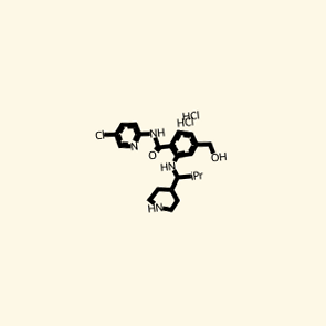 CC(C)C(Nc1cc(CO)ccc1C(=O)Nc1ccc(Cl)cn1)C1CCNCC1.Cl.Cl